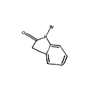 O=C1Cc2ccccc2N1Br